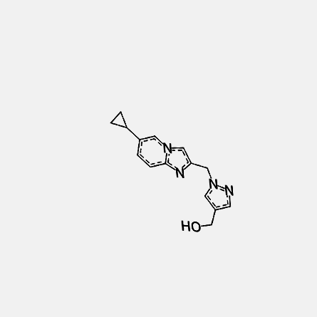 OCc1cnn(Cc2cn3cc(C4CC4)ccc3n2)c1